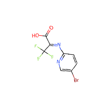 O=C(O)/C(=N/c1ccc(Br)cn1)C(F)(F)F